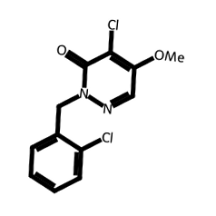 COc1cnn(Cc2ccccc2Cl)c(=O)c1Cl